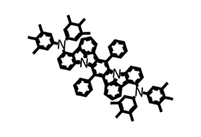 CC1=CC(N(c2cc(C)c(C)c(C)c2)c2cccc3c2c2cccc4c5c(-c6ccccc6)c6c(c(-c7ccccc7)c5n3c24)c2cccc3c4c(N(C5=CC(C)C(C)C(C)=C5)c5cc(C)c(C)c(C)c5)cccc4n6c32)CC(C)=C1C